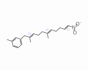 C/C(=C\CC/C=C/[N+](=O)[O-])CC/C=C(\C)Cc1cccc(C)c1